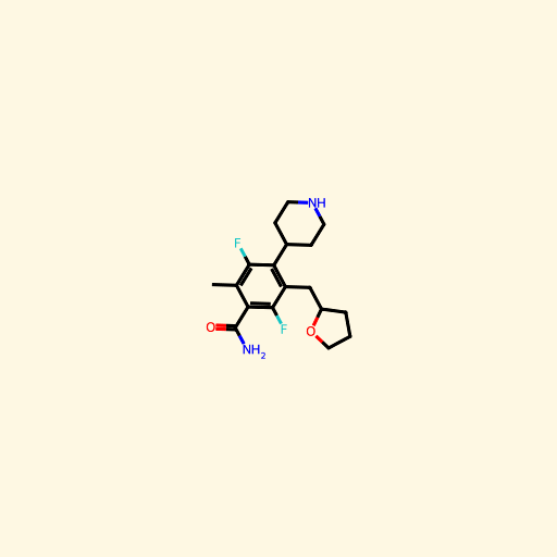 Cc1c(F)c(C2CCNCC2)c(CC2CCCO2)c(F)c1C(N)=O